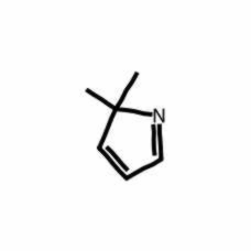 CC1(C)C=CC=N1